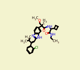 CCNC(=O)C(NC(=O)C(C)(COC)c1ccc2nc(/C=C(/c3ccccc3Cl)C(C)C)[nH]c2c1)C1CCC1